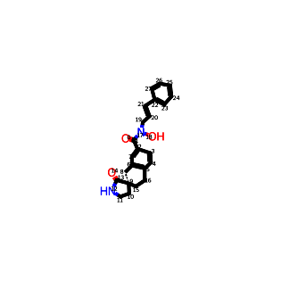 O=C(c1ccc2c(c1)C[C@@]1(CCNC1=O)CC2)N(O)CC=Cc1ccccc1